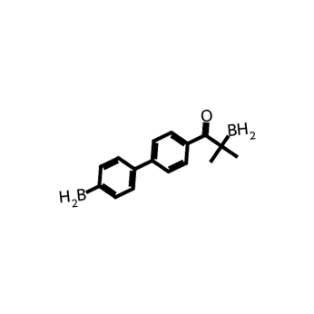 Bc1ccc(-c2ccc(C(=O)C(B)(C)C)cc2)cc1